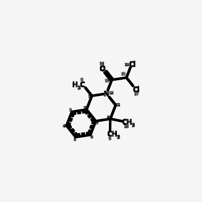 CC1c2ccccc2C(C)(C)CN1C(=O)C(Cl)Cl